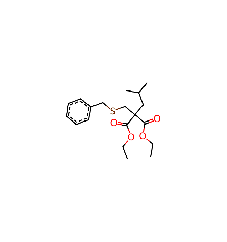 CCOC(=O)C(CSCc1ccccc1)(CC(C)C)C(=O)OCC